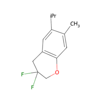 Cc1cc2c(cc1C(C)C)CC(F)(F)CO2